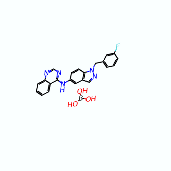 Fc1cccc(Cn2ncc3cc(Nc4ncnc5ccccc45)ccc32)c1.OB(O)O